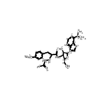 COc1ccc(CC(NBC(=O)C(C)C)C(=O)NC2C(O)[C@@H](n3cnc4c(N(C)C)ncnc43)O[C@H]2CO)cc1